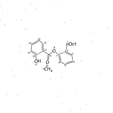 C.CCCCCCCCc1ccccc1OC(=O)c1ccccc1O